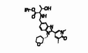 Cc1cc(-c2nc3cc(CNC(C(=O)OC(C)C)C(C)O)ccc3n2C[C@H]2CCCOC2)cn(C)c1=O